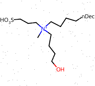 CCCCCCCCCCCCCC[N+](C)(CCCCO)CCCS(=O)(=O)O